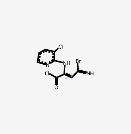 N=C(Br)/C=C(\Nc1ncccc1Cl)C(=O)Cl